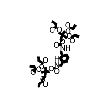 C=CC(=O)OCC(COC(=O)C=C)(COC(=O)CC)COC(=O)NCc1cccc(CNC(=O)OCC(COC(=O)C=C)(COC(=O)CC)COC(=O)CC)c1